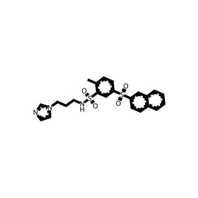 Cc1ccc(S(=O)(=O)c2ccc3ccccc3c2)cc1S(=O)(=O)NCCCn1ccnc1